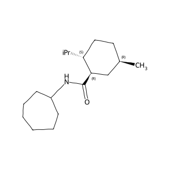 CC(C)[C@@H]1CC[C@@H](C)C[C@H]1C(=O)NC1CCCCCC1